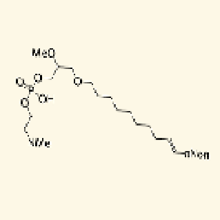 CCCCCCCCC/C=C/CCCCCCCCOCC(COP(=O)(O)OCCNC)OC